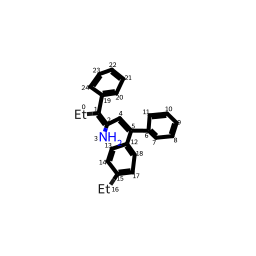 CCC(=C(N)C=C(c1ccccc1)c1ccc(CC)cc1)c1ccccc1